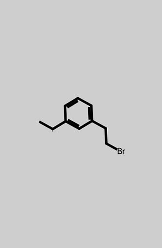 C[CH]c1cccc(CCBr)c1